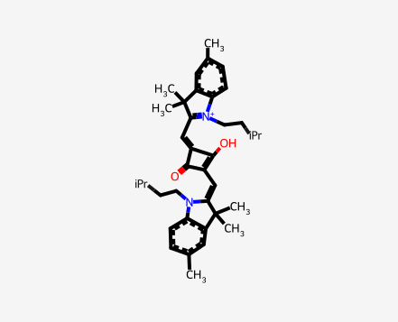 Cc1ccc2c(c1)C(C)(C)C(/C=C1/C(=O)C(/C=C3\N(CCC(C)C)c4ccc(C)cc4C3(C)C)=C1O)=[N+]2CCC(C)C